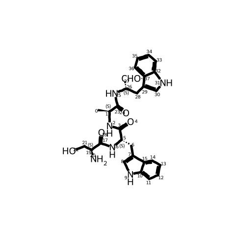 C[C@H](NC(=O)[C@H](Cc1c[nH]c2ccccc12)NC(=O)[C@@H](N)CO)C(=O)N[C@H]([C]=O)Cc1c[nH]c2ccccc12